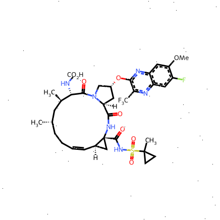 COc1cc2nc(O[C@@H]3C[C@H]4C(=O)N[C@]5(C(=O)NS(=O)(=O)C6(C)CC6)C[C@H]5/C=C\CC[C@H](C)C[C@@H](C)[C@H](NC(=O)O)C(=O)N4C3)c(C(F)(F)F)nc2cc1F